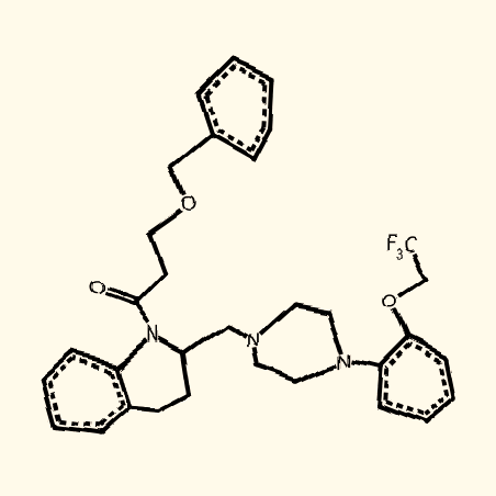 O=C(CCOCc1ccccc1)N1c2ccccc2CCC1CN1CCN(c2ccccc2OCC(F)(F)F)CC1